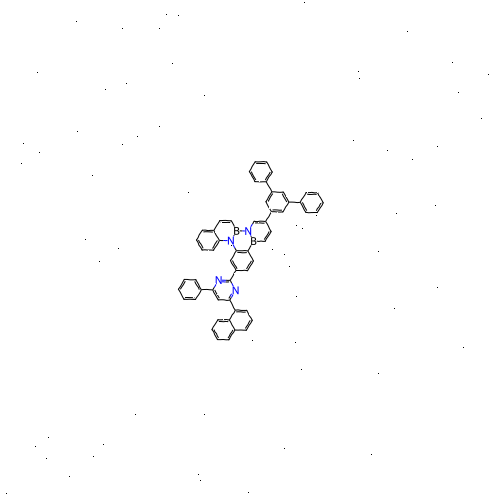 C1=CC(c2cc(-c3ccccc3)cc(-c3ccccc3)c2)=CN2B1c1ccc(-c3nc(-c4ccccc4)cc(-c4cccc5ccccc45)n3)cc1N1B2C=Cc2ccccc21